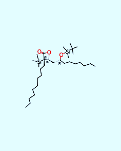 CCCCCCCCCC[C@@]1([Si](C)(C)C)C(=O)O[C@H]1C[C@@H](CCCCCCC)O[Si](C)(C)C(C)(C)C